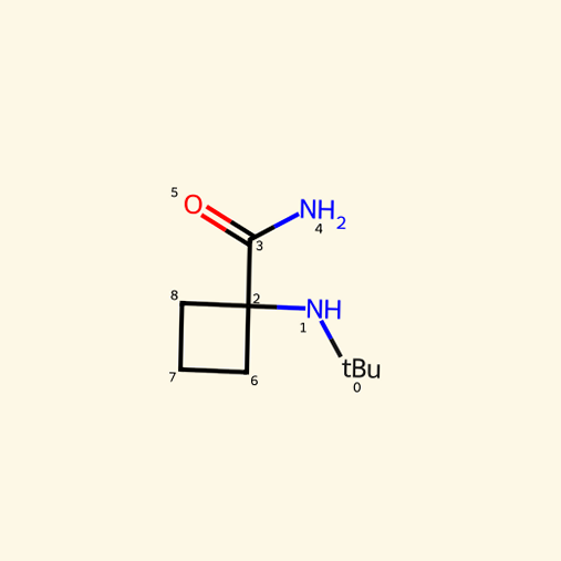 CC(C)(C)NC1(C(N)=O)CCC1